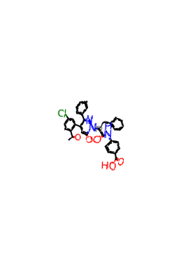 CC(=O)c1ccc(Cl)cc1-c1cc(=O)n([C@@H](Cc2ccccc2)C(=O)Nc2ccc(C(=O)O)cc2)nc1-c1ccccc1